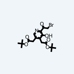 CC(C)(C)OC(=O)Cc1cnc(C(=O)CBr)c(O)c1CC(=O)OC(C)(C)C